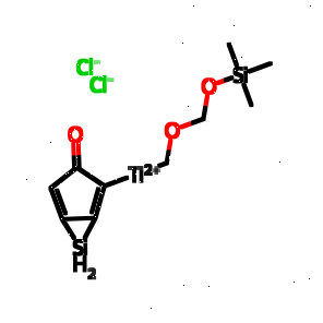 C[Si](C)(C)OCO[CH2][Ti+2][C]1=C2[SiH2]C2=CC1=O.[Cl-].[Cl-]